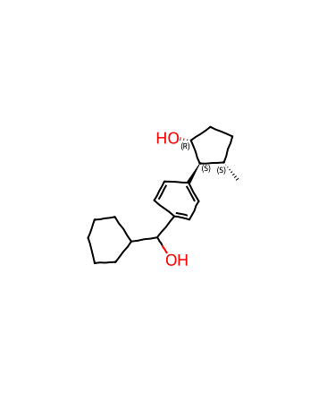 C[C@H]1CC[C@@H](O)[C@@H]1c1ccc(C(O)C2CCCCC2)cc1